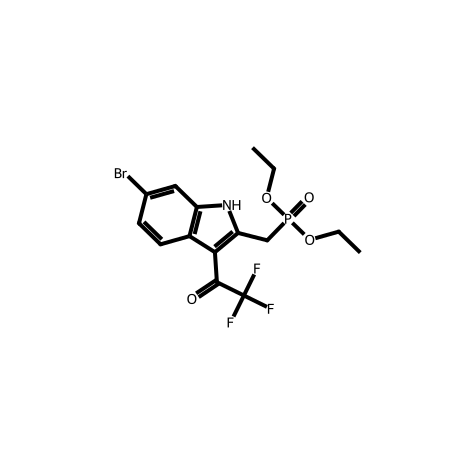 CCOP(=O)(Cc1[nH]c2cc(Br)ccc2c1C(=O)C(F)(F)F)OCC